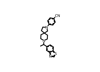 CC(c1ccc2scnc2c1)N1CCC2(CCN(c3ccc(C#N)cc3)C2)CC1